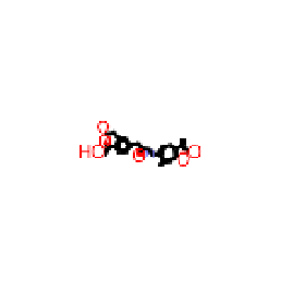 C=C1C(=O)OC2CC(C)C(/C=C/C(=O)Cc3ccc4c(c3)CC(=O)OC4CO)=CCC12